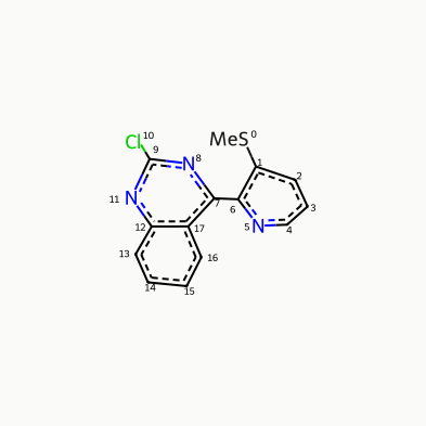 CSc1cccnc1-c1nc(Cl)nc2ccccc12